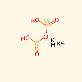 O=[PH](O)O[PH](=O)O.[KH].[KH]